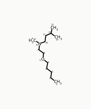 CCCCCOCCN(C)CCC(C)C